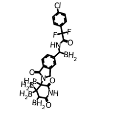 BC(NC(=O)C(F)(F)c1ccc(Cl)cc1)c1ccc2c(c1)CN(C1(B)C(=O)NC(=O)C(B)C1(B)B)C2=O